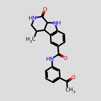 CC(=O)c1cccc(NC(=O)c2ccc3c(c2)C2C(C)CNC(=O)C2N3)c1